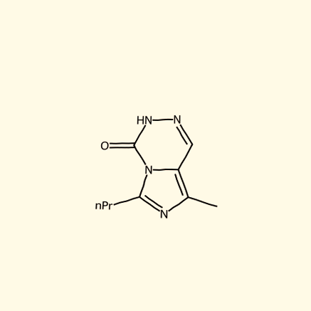 CCCc1nc(C)c2cn[nH]c(=O)n12